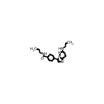 C=CCNC(=O)c1ccc(-c2cnc3ccc(NCC=C)nn23)cc1